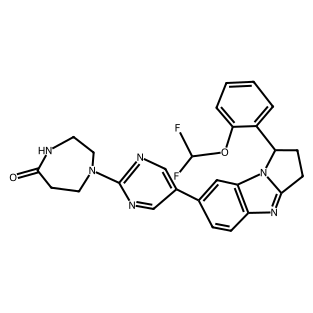 O=C1CCN(c2ncc(-c3ccc4nc5n(c4c3)C(c3ccccc3OC(F)F)CC5)cn2)CCN1